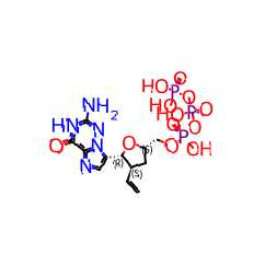 C=C[C@@H]1C[C@@H](COP(=O)(O)OP(=O)(O)OP(=O)(O)O)O[C@H]1c1cnc2c(=O)[nH]c(N)nn12